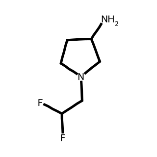 NC1CCN(CC(F)F)C1